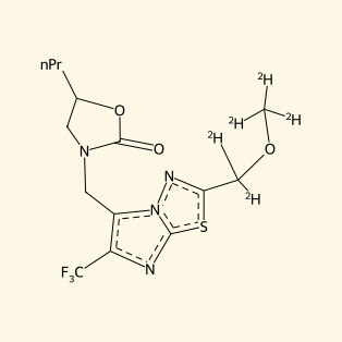 [2H]C([2H])([2H])OC([2H])([2H])c1nn2c(CN3CC(CCC)OC3=O)c(C(F)(F)F)nc2s1